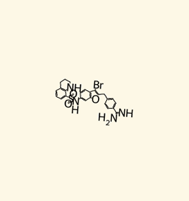 N=C(N)c1ccc(Cc2oc3cc(NS(=O)(=O)c4cccc5c4NCCC5)ccc3c2Br)cc1